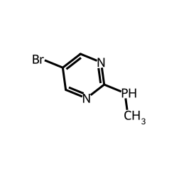 CPc1ncc(Br)cn1